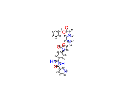 CC(C(=O)OCc1ccccc1)N1CCN(CC2CN(c3ccc(C(=N)NC(=O)c4cccnc4)cc3)C(=O)O2)CC1